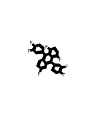 Fc1ccc2c(-c3ccc(F)c(F)c3)c3c(F)ccc(F)c3c(-c3ccc(F)c(F)c3)c2c1